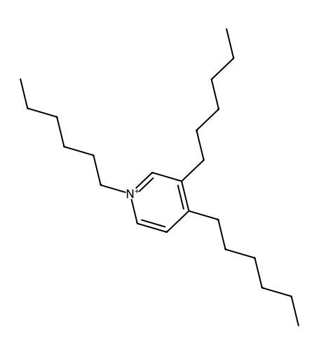 CCCCCCc1cc[n+](CCCCCC)cc1CCCCCC